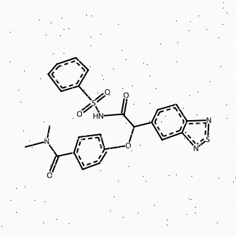 CN(C)C(=O)c1ccc(OC(C(=O)NS(=O)(=O)c2ccccc2)c2ccc3nsnc3c2)cc1